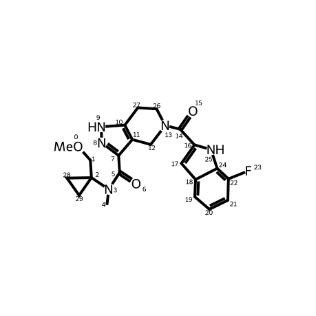 COCC1(N(C)C(=O)c2n[nH]c3c2CN(C(=O)c2cc4cccc(F)c4[nH]2)CC3)CC1